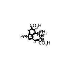 CC(C)n1cc2c3c(cc(C(=O)O)cc31)N(C)S(=O)(=O)C(C(=O)O)=C2